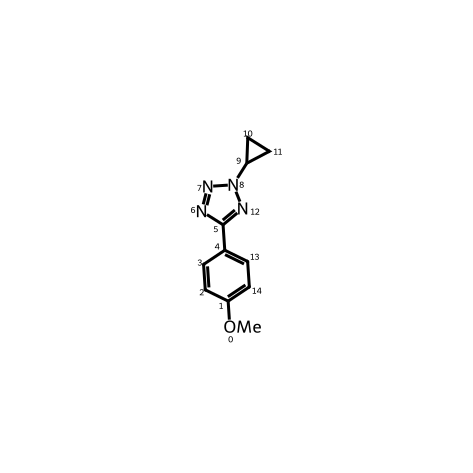 COc1ccc(-c2nnn(C3CC3)n2)cc1